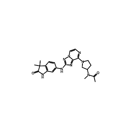 CC(=O)N(C)C1CCN(c2nccn3nc(Nc4ccc5c(c4)NC(=O)C5(C)C)nc23)C1